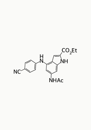 CCOC(=O)c1cc2c(Nc3ccc(C#N)cc3)cc(NC(C)=O)cc2[nH]1